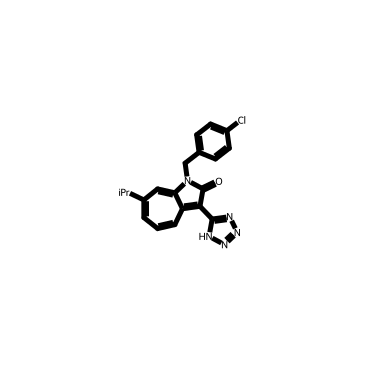 CC(C)c1cccc2c(-c3nnn[nH]3)c(=O)n(Cc3ccc(Cl)cc3)c-2c1